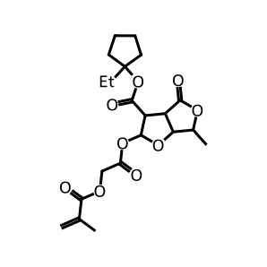 C=C(C)C(=O)OCC(=O)OC1OC2C(C)OC(=O)C2C1C(=O)OC1(CC)CCCC1